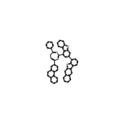 C1=C(c2ccc3c(ccc4ccccc43)c2)N=C(c2cc(-c3cccc4c3sc3cc5ccccc5cc34)cc3oc4ccccc4c23)N=C(c2ccccc2)C1